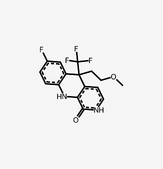 COCCC1(C(F)(F)F)c2cc(F)ccc2Nc2c1cc[nH]c2=O